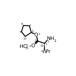 CCC[C@H](N)C(=O)OC1CCCC1.Cl